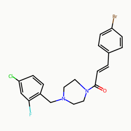 O=C(C=Cc1ccc(Br)cc1)N1CCN(Cc2ccc(Cl)cc2F)CC1